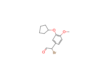 COc1ccc(C(Br)C=O)cc1OC1CCCC1